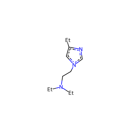 CCc1cn(CCN(CC)CC)cn1